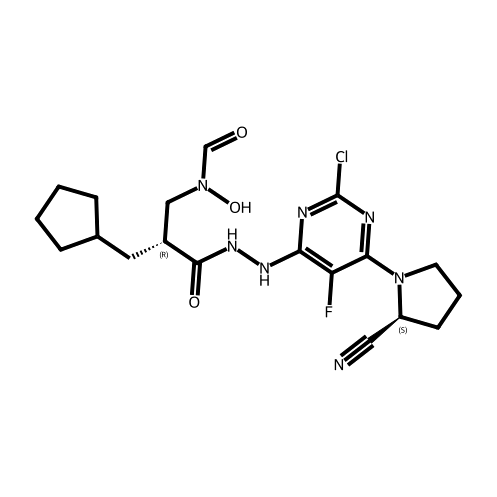 N#C[C@@H]1CCCN1c1nc(Cl)nc(NNC(=O)[C@H](CC2CCCC2)CN(O)C=O)c1F